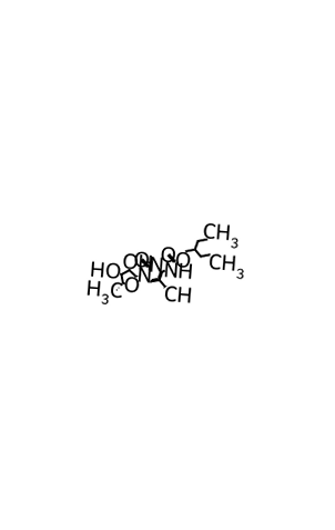 C#Cc1cn([C@@H]2O[C@H](C)[C@@H](O)[C@H]2O)c(=O)nc1NC(=O)OCC(CCC)CCC